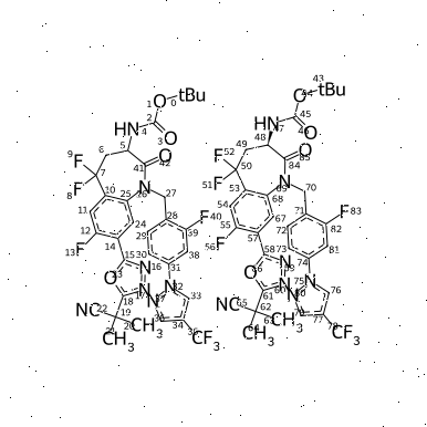 CC(C)(C)OC(=O)NC1CC(F)(F)c2cc(F)c(-c3nnc(C(C)(C)C#N)o3)cc2N(Cc2ccc(-n3cc(C(F)(F)F)cn3)cc2F)C1=O.CC(C)(C)OC(=O)N[C@@H]1CC(F)(F)c2cc(F)c(-c3nnc(C(C)(C)C#N)o3)cc2N(Cc2ccc(-n3cc(C(F)(F)F)cn3)cc2F)C1=O